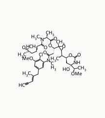 C#C/C=C(\C)Cc1cc(OC)c(Cl)c(N(C)C(=O)C[C@H](OC(=O)[C@H](C)N(C)C(=O)CCC[SH](C)(C)=O)C2(C)O[C@H]2[C@H](C)[C@@H]2C[C@](O)([C@@H](C)OC)NC(=O)O2)c1